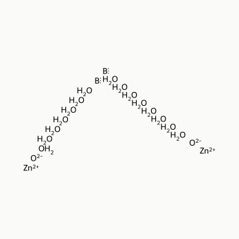 O.O.O.O.O.O.O.O.O.O.O.O.O.O.O.[B].[B].[O-2].[O-2].[Zn+2].[Zn+2]